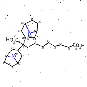 CN1C2CCC1CC(C(CCCCCCCC(=O)O)(C(=O)O)C1CC3CCC(C1)N3C)C2